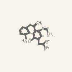 C=C(Cc1cccc(C)c1)c1cc(CC)c(CC(CCC)CCC)cc1/N=C\C